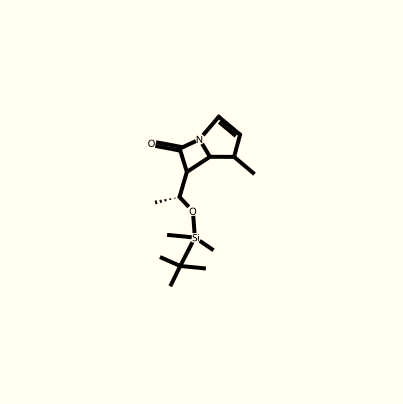 CC1C=CN2C(=O)C([C@@H](C)O[Si](C)(C)C(C)(C)C)C12